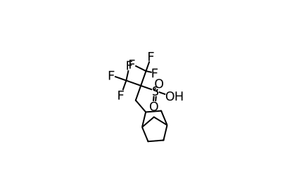 O=S(=O)(O)C(CC1CC2CCC1C2)(C(F)(F)F)C(F)(F)F